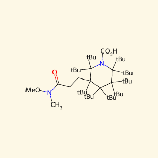 CON(C)C(=O)CCC1(C(C)(C)C)C(C(C)(C)C)(C(C)(C)C)N(C(=O)O)C(C(C)(C)C)(C(C)(C)C)C(C(C)(C)C)(C(C)(C)C)C1(C(C)(C)C)C(C)(C)C